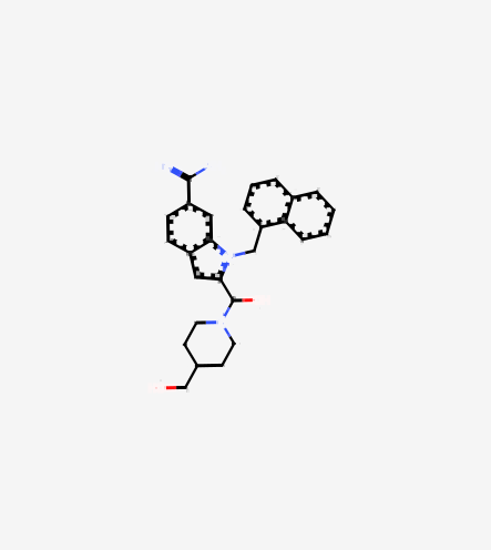 N=C(N)c1ccc2cc(C(O)N3CCC(CO)CC3)n(Cc3cccc4ccccc34)c2c1